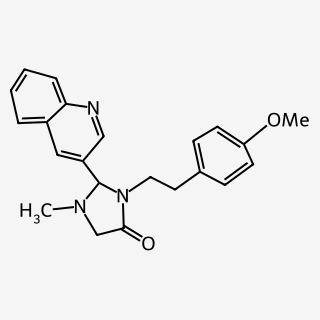 COc1ccc(CCN2C(=O)CN(C)C2c2cnc3ccccc3c2)cc1